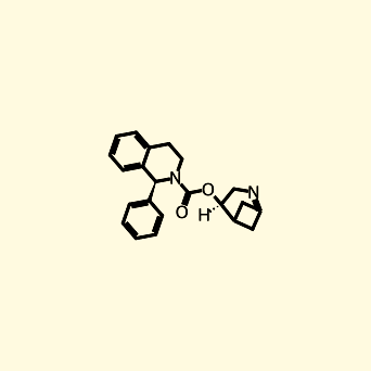 O=C(O[C@H]1CN=C2CC1C2)N1CCc2ccccc2[C@@H]1c1ccccc1